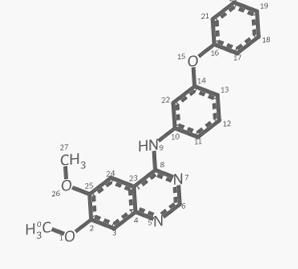 COc1cc2ncnc(Nc3cccc(Oc4ccccc4)c3)c2cc1OC